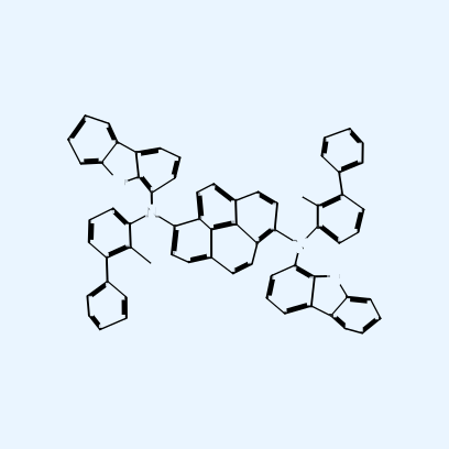 Cc1c(-c2ccccc2)cccc1N(c1ccc2ccc3c(N(c4cccc(-c5ccccc5)c4C)c4cccc5c4oc4ccccc45)ccc4ccc1c2c43)c1cccc2c1oc1ccccc12